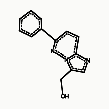 OCc1cnc2ccc(-c3ccccc3)nn12